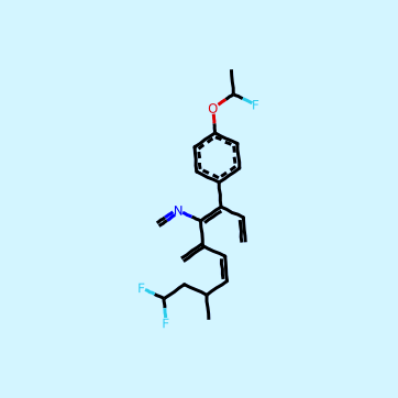 C=C/C(=C(/N=C)C(=C)/C=C\C(C)CC(F)F)c1ccc(OC(C)F)cc1